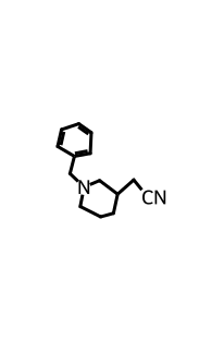 N#CCC1CCCN(Cc2ccccc2)C1